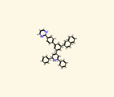 C1=C=NC(c2ccc(-c3cc(-c4cc(-c5ccccc5)nc(-c5ccccc5)c4)cc(-c4ccc5ccccc5c4)c3)cc2)=NC=1